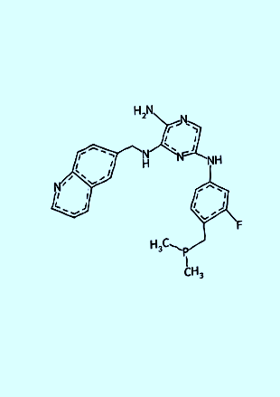 CP(C)Cc1ccc(Nc2cnc(N)c(NCc3ccc4ncccc4c3)n2)cc1F